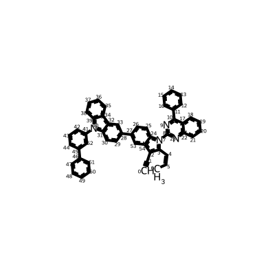 C#Cc1c(/C=C\C)n(-c2nc(-c3ccccc3)c3ccccc3n2)c2ccc(-c3ccc4c(c3)c3ccccc3n4-c3cccc(-c4ccccc4)c3)cc12